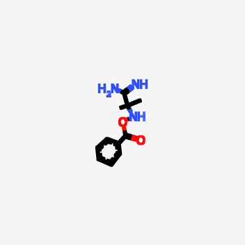 CC(C)(NOC(=O)c1ccccc1)C(=N)N